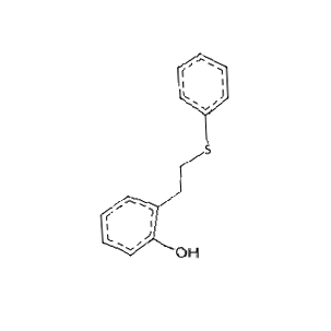 Oc1ccccc1CCSc1ccccc1